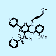 COc1ccccc1Oc1c(OCC#CCO)nc(-c2ccncc2)nc1N(C(C)C)S(=O)(=O)c1ccccn1